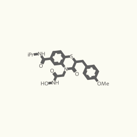 COc1ccc(CC2Sc3ccc(C(=O)NC(C)C)cc3N(CC(=O)NO)C2=O)cc1